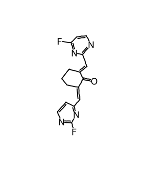 O=C1/C(=C/c2ccnc(F)n2)CCC/C1=C\c1nccc(F)n1